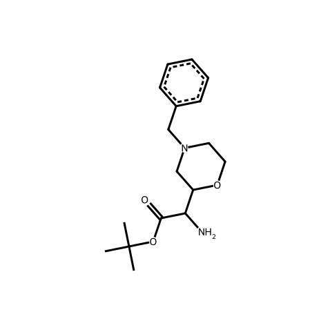 CC(C)(C)OC(=O)C(N)C1CN(Cc2ccccc2)CCO1